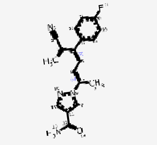 C=C(C#N)/C(=C\C=C(/C)n1cc(C(N)=O)cn1)c1ccc(F)cc1